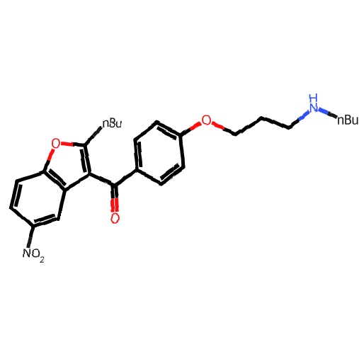 CCCCNCCCOc1ccc(C(=O)c2c(CCCC)oc3ccc([N+](=O)[O-])cc23)cc1